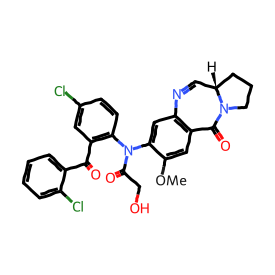 COc1cc2c(cc1N(C(=O)CO)c1ccc(Cl)cc1C(=O)c1ccccc1Cl)N=C[C@@H]1CCCN1C2=O